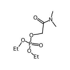 CCOP(=O)(OCC)OCC(=O)N(C)C